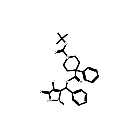 Cn1[nH]c(=O)c(Br)c1C(OC(=O)C1(c2ccccc2)CCN(C(=O)OC(C)(C)C)CC1)c1ccccc1